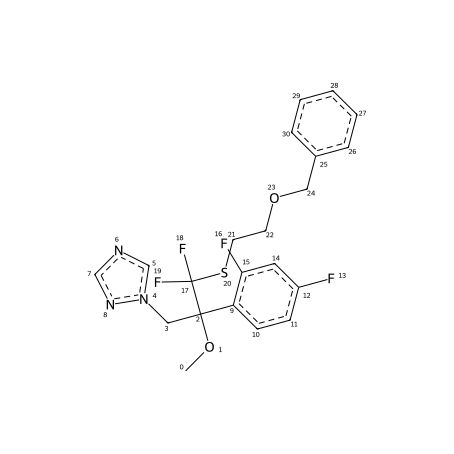 COC(Cn1cncn1)(c1ccc(F)cc1F)C(F)(F)SCCOCc1ccccc1